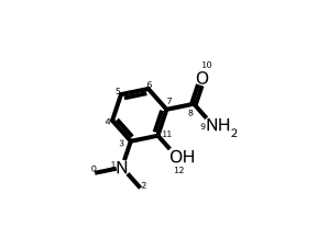 CN(C)c1cccc(C(N)=O)c1O